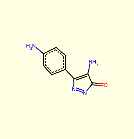 NC1=C(c2ccc(N)cc2)N=NC1=O